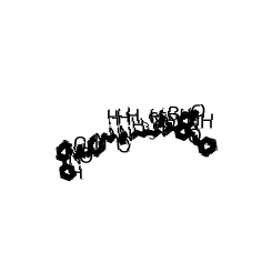 CC(C)(C)[Si](C)(C)OC(CNCCCCCNC(=O)NCCN1CCC(OC(=O)Nc2ccccc2-c2ccccc2)CC1)c1ccc(OCc2ccccc2)c2[nH]c(=O)ccc12